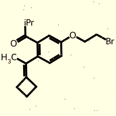 CC(=C1CCC1)c1ccc(OCCBr)cc1C(=O)C(C)C